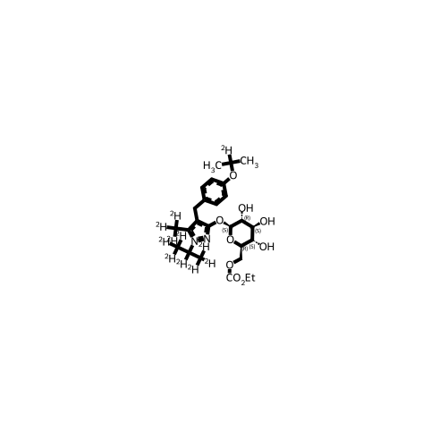 [2H]C(C)(C)Oc1ccc(Cc2c(O[C@@H]3O[C@H](COC(=O)OCC)[C@@H](O)[C@H](O)[C@H]3O)nn(C([2H])(C([2H])([2H])[2H])C([2H])([2H])[2H])c2C([2H])([2H])[2H])cc1